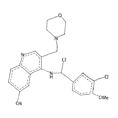 COc1ccc(C(Cl)Nc2c(CN3CCOCC3)cnc3ccc(C#N)cc23)cc1Cl